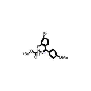 COc1ccc(/C(=N/NC(=O)OC(C)(C)C)c2ccc(Br)cc2F)cc1